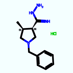 C[C@@H]1CN(Cc2ccccc2)C[C@H]1C(=N)NN.Cl